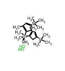 CC1=[C]([Ti]([CH3])([CH3])(=[SiH2])[C]2=C(C)C=C([Si](C)(C)C)C2)CC([Si](C)(C)C)=C1.Cl.Cl